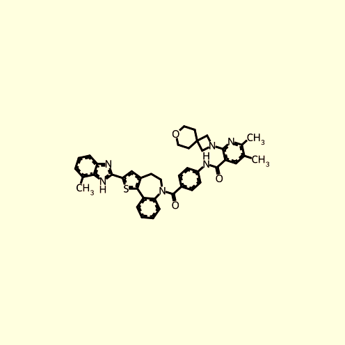 Cc1cc(C(=O)Nc2ccc(C(=O)N3CCc4cc(-c5nc6cccc(C)c6[nH]5)sc4-c4ccccc43)cc2)c(N2CC3(CCOCC3)C2)nc1C